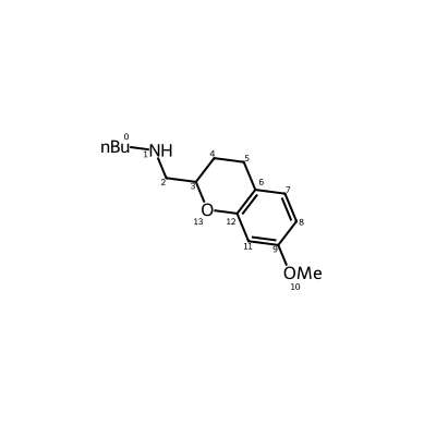 CCCCNCC1CCc2ccc(OC)cc2O1